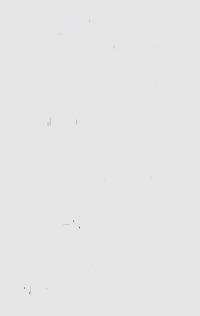 CCCCC/C=C\C/C=C\C/C=C\C/C=C\CCCCNC(=O)CC#N